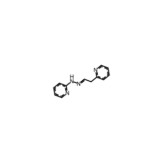 C(Cc1ccccn1)=NNc1ccccn1